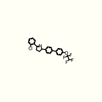 FC(F)C(F)(F)Oc1ccc(-c2ccc(C3CCC(c4ccccc4Cl)=N3)cc2)cc1